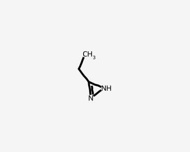 CCC1=NN1